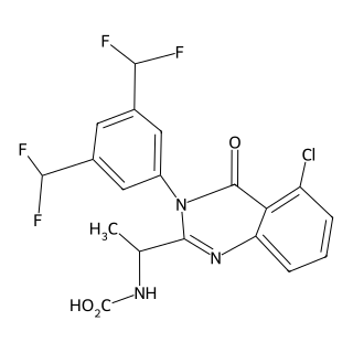 CC(NC(=O)O)c1nc2cccc(Cl)c2c(=O)n1-c1cc(C(F)F)cc(C(F)F)c1